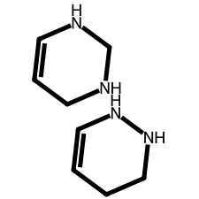 C1=CNCNC1.C1=CNNCC1